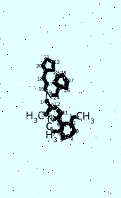 CCc1cccc(CC)c1-c1ccc(CN(CCCC2CCCC2)Cc2ccccc2)c(C)n1